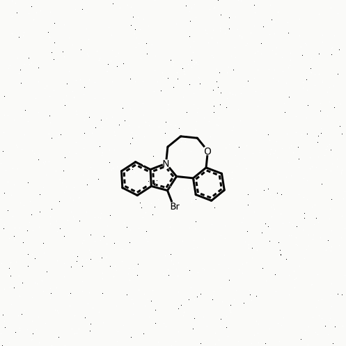 Brc1c2n(c3ccccc13)CCCOc1ccccc1-2